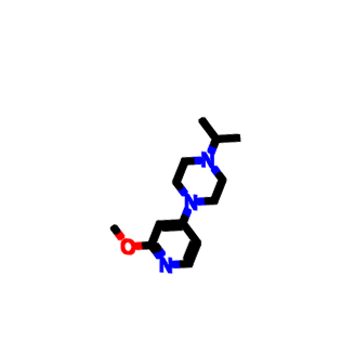 COc1cc(N2CCN(C(C)C)CC2)ccn1